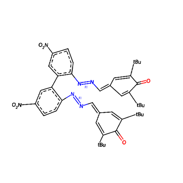 CC(C)(C)C1=CC(=C/N=N/c2ccc([N+](=O)[O-])cc2-c2cc([N+](=O)[O-])ccc2/N=N/C=C2C=C(C(C)(C)C)C(=O)C(C(C)(C)C)=C2)C=C(C(C)(C)C)C1=O